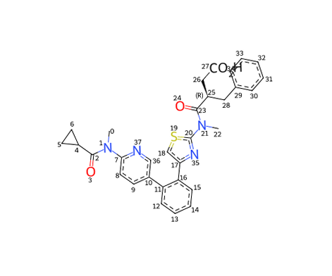 CN(C(=O)C1CC1)c1ccc(-c2ccccc2-c2csc(N(C)C(=O)[C@@H](CC(=O)O)Cc3ccccc3)n2)cn1